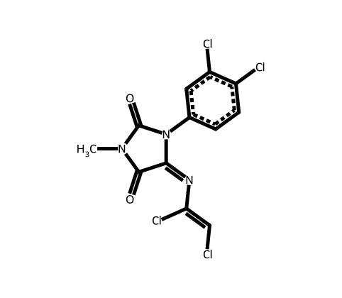 CN1C(=O)C(=NC(Cl)=CCl)N(c2ccc(Cl)c(Cl)c2)C1=O